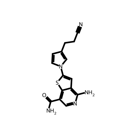 N#CCCc1ccn(-c2cc3c(N)ncc(C(N)=O)c3s2)c1